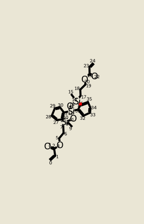 C=CC(=O)OCCC[Si](C)(C)O[Si](O[Si](C)(C)CCCOC(=O)C=C)(c1ccccc1)c1ccccc1